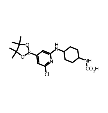 CC1(C)OB(c2cc(Cl)nc(NC3CCC(NC(=O)O)CC3)c2)OC1(C)C